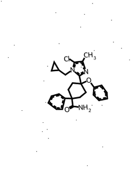 Cc1nc(C2(Oc3ccccc3)CCC(C(N)=O)(c3ccccc3)CC2)n(CC2CC2)c1Cl